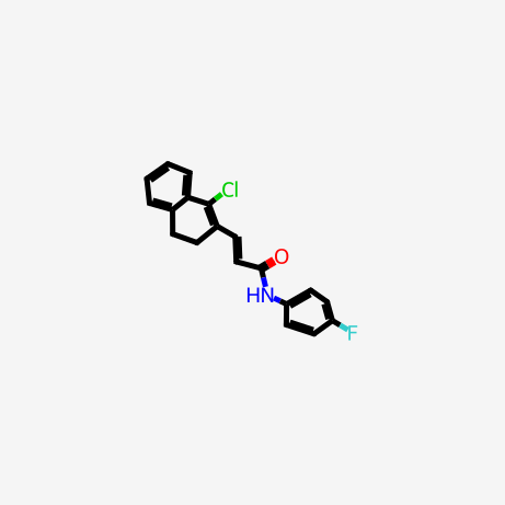 O=C(C=CC1=C(Cl)c2ccccc2CC1)Nc1ccc(F)cc1